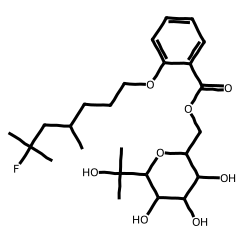 CC(CCCOc1ccccc1C(=O)OCC1OC(C(C)(C)O)C(O)C(O)C1O)CC(C)(C)F